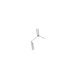 C=C[C](=O)[Cu].[Al]